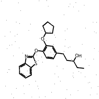 CCC(O)CCc1ccc(Oc2nc3ccccc3s2)c(OC2CCCC2)c1